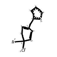 ClC1(Br)[CH]C=C(c2cccs2)C=C1